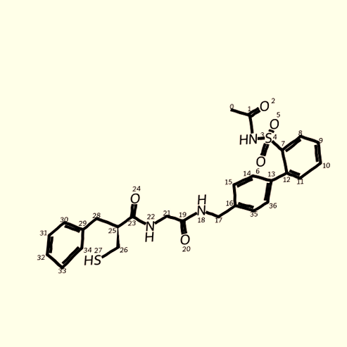 CC(=O)NS(=O)(=O)c1ccccc1-c1ccc(CNC(=O)CNC(=O)[C@@H](CS)Cc2ccccc2)cc1